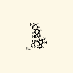 O=c1[nH]c2ccsc2c(NC2CC(O)C2)c1-c1nc2cc3c(cc2[nH]1)CCNCC3